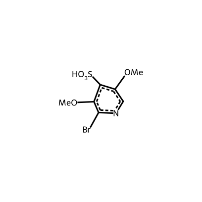 COc1cnc(Br)c(OC)c1S(=O)(=O)O